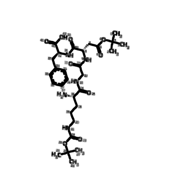 CC(C)(C)OC(=O)C[C@H](NC(=O)CNC(=O)[C@@H](N)CCCNC(=O)OC(C)(C)C)C(=O)N[C@@H](Cc1ccccc1)C(=O)O